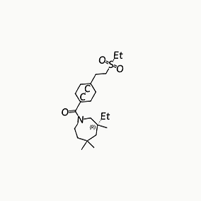 CC[C@@]1(C)CN(C(=O)C23CCC(CCS(=O)(=O)CC)(CC2)CC3)CCC(C)(C)C1